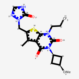 CO[C@H]1C[C@@H](n2c(=O)c3c(C)c(Cn4nc[nH]c4=O)sc3n(CCC(F)(F)F)c2=O)C1